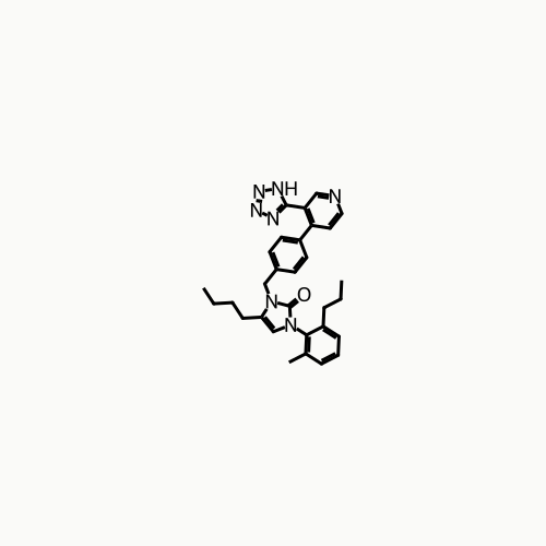 CCCCc1cn(-c2c(C)cccc2CCC)c(=O)n1Cc1ccc(-c2ccncc2-c2nnn[nH]2)cc1